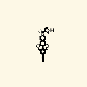 CC#Cc1cc(C)c(C2C(=O)CC3(CCN(C(=O)c4cc[nH]n4)CC3)CC2=O)c(C)c1